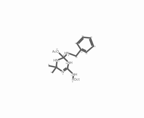 CCCCCCCCNC1=NC(C)(C)NC(NCc2ccccc2)(OC(C)=O)N1